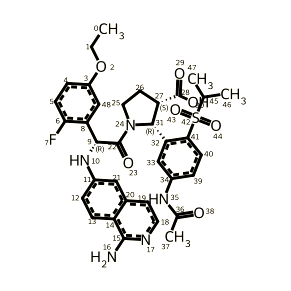 CCOc1ccc(F)c([C@@H](Nc2ccc3c(N)nccc3c2)C(=O)N2CC[C@H](C(=O)O)[C@@H]2c2cc(NC(C)=O)ccc2S(=O)(=O)C(C)C)c1